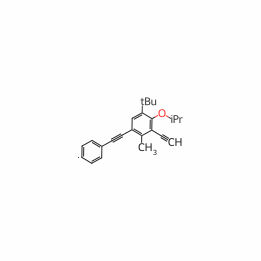 C#Cc1c(C)c(C#Cc2cc[c]cc2)cc(C(C)(C)C)c1OC(C)C